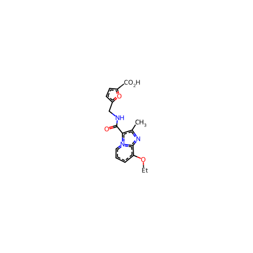 CCOc1cccn2c(C(=O)NCc3ccc(C(=O)O)o3)c(C)nc12